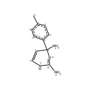 Cc1ccc(C2(N)C=CNC(N)=N2)cc1